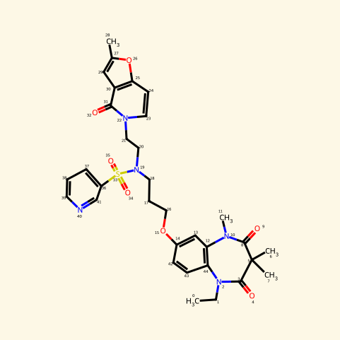 CCN1C(=O)C(C)(C)C(=O)N(C)c2cc(OCCCN(CCn3ccc4oc(C)cc4c3=O)S(=O)(=O)c3cccnc3)ccc21